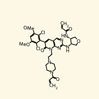 C=CC(=O)N[C@H]1COC[C@H]1Nc1ncc2cc(-c3c(Cl)c(OC)cc(OC)c3Cl)c(=O)n(CCN3CCN(C(=O)C=C)CC3)c2n1